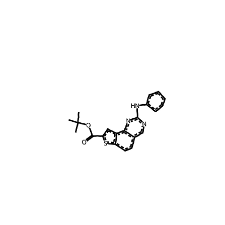 CC(C)(C)OC(=O)c1cc2c(ccc3cnc(Nc4ccccc4)nc32)s1